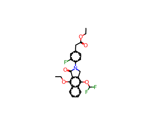 CCOC(=O)Cc1ccc(N2Cc3c(c(OCC)c4ccccc4c3OC(F)F)C2=O)c(F)c1